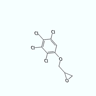 Clc1cc(OCC2CO2)c(Cl)c(Cl)c1Cl